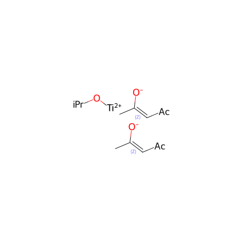 CC(=O)/C=C(/C)[O-].CC(=O)/C=C(/C)[O-].CC(C)[O][Ti+2]